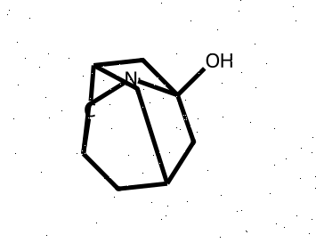 OC12CC3CC(C[N]1)CC(C3)C2